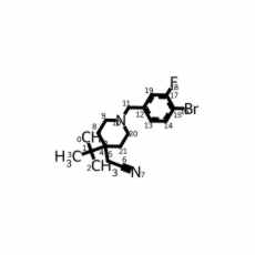 CC(C)(C)C1(CC#N)CCN(Cc2ccc(Br)c(F)c2)CC1